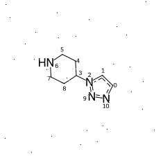 c1cn(C2CCNCC2)nn1